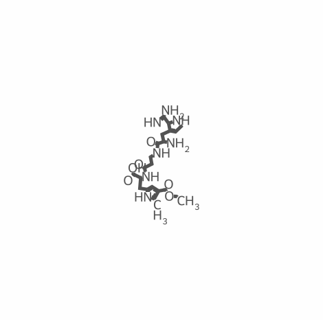 CCOC(=O)c1cc(CC(NC(=O)CCNC(=O)C(N)CC2=CCNC2C(=N)N)C(=O)O)[nH]c1C